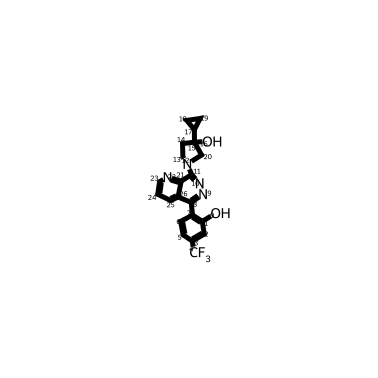 Oc1cc(C(F)(F)F)ccc1-c1nnc(N2CCC(O)(C3CC3)C2)c2ncccc12